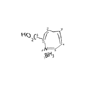 O=C(O)c1ccccn1.[BiH3]